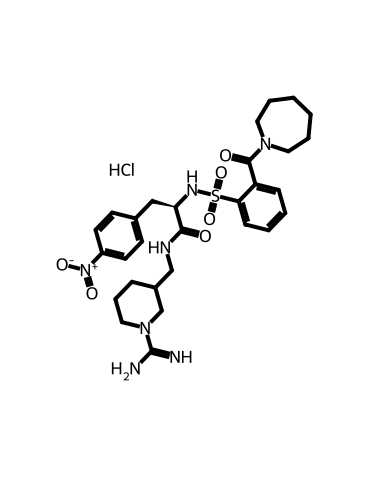 Cl.N=C(N)N1CCCC(CNC(=O)[C@@H](Cc2ccc([N+](=O)[O-])cc2)NS(=O)(=O)c2ccccc2C(=O)N2CCCCCC2)C1